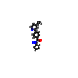 O=C(NC1CCCC1)c1ccc(-c2cc(C(F)(F)F)ccn2)cc1